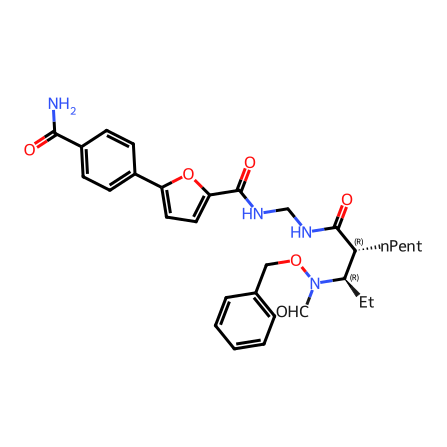 CCCCC[C@@H](C(=O)NCNC(=O)c1ccc(-c2ccc(C(N)=O)cc2)o1)[C@@H](CC)N(C=O)OCc1ccccc1